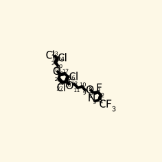 Fc1cc(C(F)(F)F)cnc1OCCCCOc1c(Cl)cc(OCC=C(Cl)Cl)cc1Cl